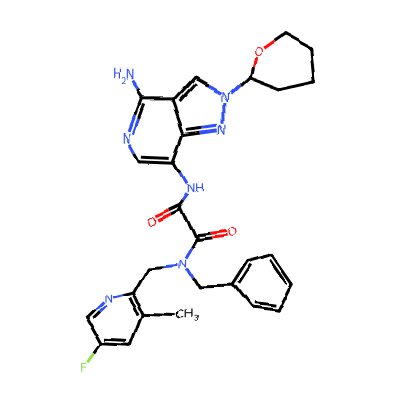 Cc1cc(F)cnc1CN(Cc1ccccc1)C(=O)C(=O)Nc1cnc(N)c2cn(C3CCCCO3)nc12